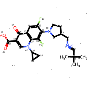 CC(C)(C)/C=N/CC1CCN(c2c(F)cc3c(=O)c(C(=O)O)cn(C4CC4)c3c2F)C1